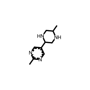 Cc1ncc(C2CNC(C)CN2)cn1